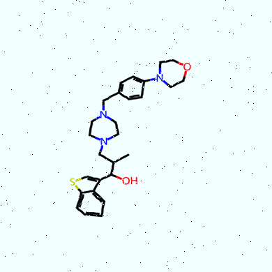 CC(CN1CCN(Cc2ccc(N3CCOCC3)cc2)CC1)C(O)c1csc2ccccc12